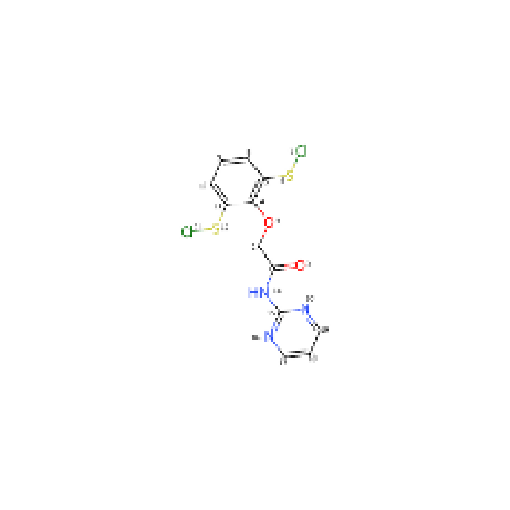 O=C(COc1c(SCl)cccc1SCl)Nc1ncccn1